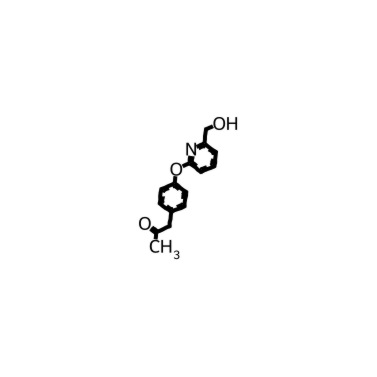 CC(=O)Cc1ccc(Oc2cccc(CO)n2)cc1